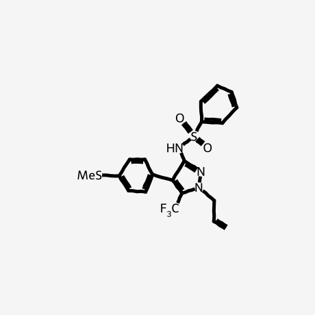 C=CCn1nc(NS(=O)(=O)c2ccccc2)c(-c2ccc(SC)cc2)c1C(F)(F)F